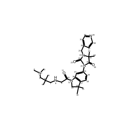 CN(C)CC(C)(C)CNCC(=O)N1CC(C)(C)c2ccc(N3C(=O)N(Cc4ccncc4)C(C)(C)C3=O)cc21